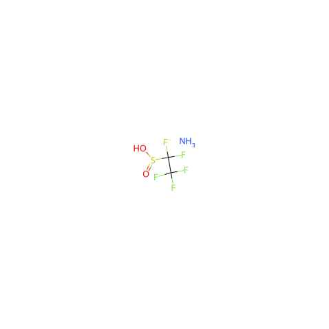 N.O=S(O)C(F)(F)C(F)(F)F